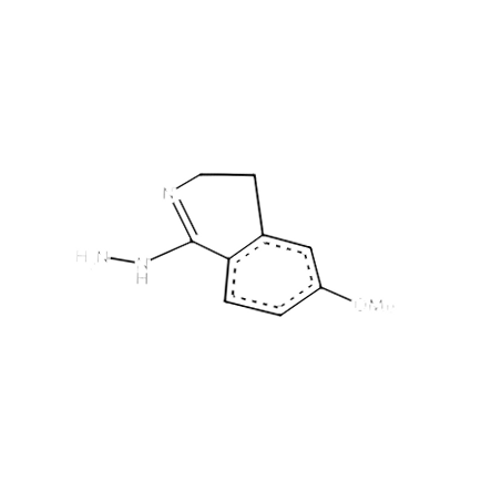 COc1ccc2c(c1)CCN=C2NN